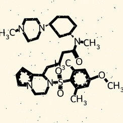 COc1cc(C)c(S(=O)(=O)N2CCn3cccc3C2CCCC(=O)N(C)[C@H]2CCC[C@@H](N3CCN(C)CC3)C2)c(C)c1